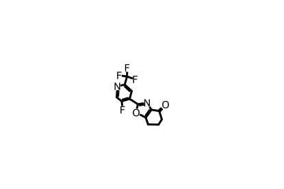 O=C1CCCc2oc(-c3cc(C(F)(F)F)ncc3F)nc21